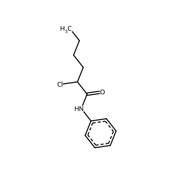 CCCCC(Cl)C(=O)Nc1ccccc1